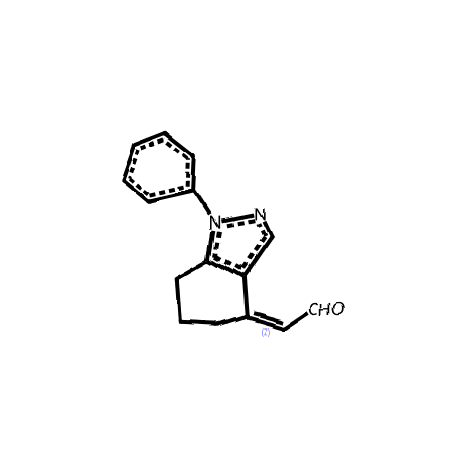 O=C/C=C1/CCCc2c1cnn2-c1ccccc1